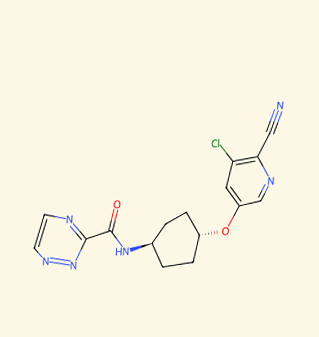 N#Cc1ncc(O[C@H]2CC[C@H](NC(=O)c3nccnn3)CC2)cc1Cl